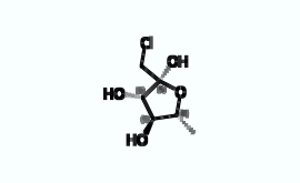 C[C@H]1O[C@](O)(CCl)[C@@H](O)[C@@H]1O